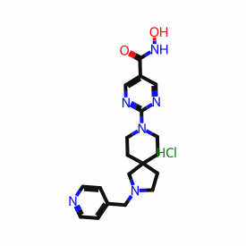 Cl.O=C(NO)c1cnc(N2CCC3(CCN(Cc4ccncc4)C3)CC2)nc1